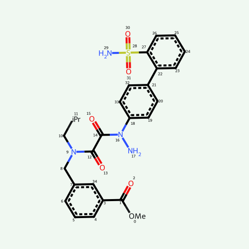 COC(=O)c1cccc(CN(CC(C)C)C(=O)C(=O)N(N)c2ccc(-c3ccccc3S(N)(=O)=O)cc2)c1